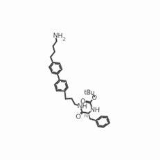 CC(C)(C)OC(=O)N[C@@H](Cc1ccccc1)C(=O)NCCCc1ccc(-c2ccc(CCCCN)cc2)cc1